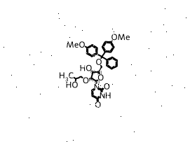 COc1ccc(C(OC[C@H]2O[C@@H](n3ccc(=O)[nH]c3=O)[C@H](OCC(C)O)[C@@H]2O)(c2ccccc2)c2ccc(OC)cc2)cc1